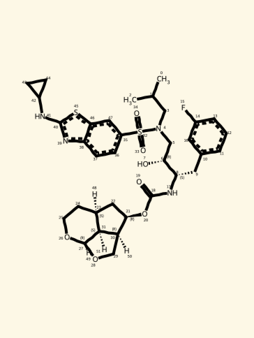 CC(C)CN(C[C@@H](O)[C@H](Cc1cccc(F)c1)NC(=O)O[C@@H]1C[C@@H]2CCO[C@@H]3OC[C@H]1[C@H]23)S(=O)(=O)c1ccc2nc(NC3CC3)sc2c1